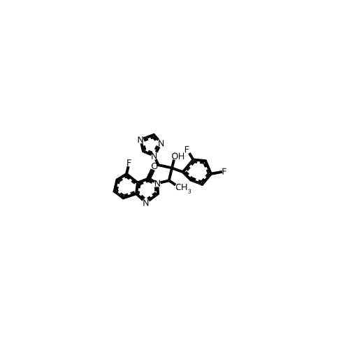 CC(n1cnc2cccc(F)c2c1=O)C(O)(Cn1cncn1)c1ccc(F)cc1F